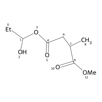 CCC(O)OC(=O)CC(C)C(=O)OC